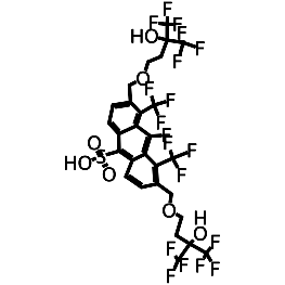 O=S(=O)(O)c1c2ccc(COCCC(O)(C(F)(F)F)C(F)(F)F)c(C(F)(F)F)c2c(F)c2c(C(F)(F)F)c(COCCC(O)(C(F)(F)F)C(F)(F)F)ccc12